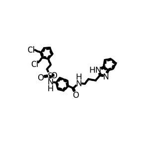 O=C(NCCCc1nc2ccccc2[nH]1)c1ccc(NS(=O)(=O)CCc2cccc(Cl)c2Cl)cc1